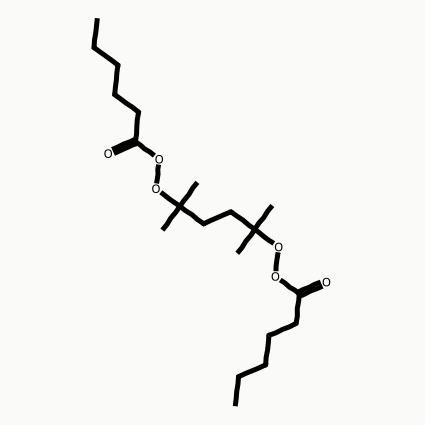 CCCCCC(=O)OOC(C)(C)CCC(C)(C)OOC(=O)CCCCC